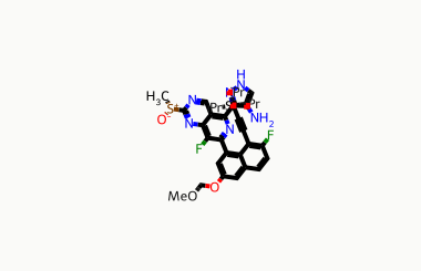 COCOc1cc(-c2nc(-c3n[nH]cc3N)c3cnc([S+](C)[O-])nc3c2F)c2c(C#C[Si](C(C)C)(C(C)C)C(C)C)c(F)ccc2c1